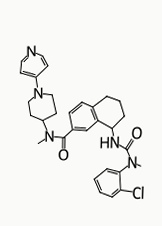 CN(C(=O)NC1CCCc2ccc(C(=O)N(C)C3CCN(c4ccncc4)CC3)cc21)c1ccccc1Cl